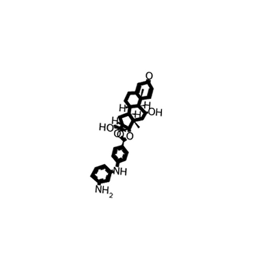 C[C@]12C=CC(=O)C=C1CC[C@@H]1[C@@H]2[C@@H](O)C[C@@]2(C)[C@H]1C[C@H]1O[C@H](c3ccc(Nc4cccc(N)c4)cc3)O[C@]12C(=O)CO